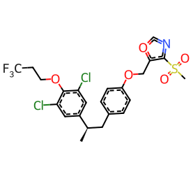 C[C@H](Cc1ccc(OCc2ocnc2S(C)(=O)=O)cc1)c1cc(Cl)c(OCCC(F)(F)F)c(Cl)c1